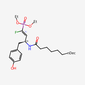 CCCCCCCCCCCCCCCC(=O)N[C@H](/C=C(\F)P(=O)(OCC)OCC)Cc1ccc(O)cc1